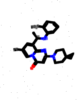 C[C@@H](Nc1ccccc1C(=O)O)c1cc(C#N)cn2c(=O)cc(N3CCC4(CC3)CC4)nc12